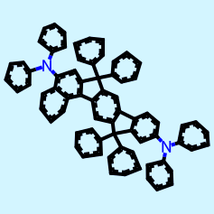 c1ccc(N(c2ccccc2)c2ccc3c(c2)C(c2ccccc2)(c2ccccc2)c2cc4c(cc2-3)C(c2ccccc2)(c2ccccc2)c2cc(N(c3ccccc3)c3ccccc3)c3ccccc3c2-4)cc1